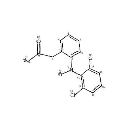 CC(C)N(c1ccccc1CC(=O)C(C)(C)C)c1c(Cl)cccc1Cl